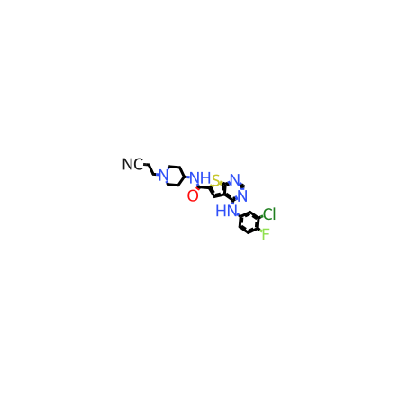 N#CCCN1CCC(NC(=O)c2cc3c(Nc4ccc(F)c(Cl)c4)ncnc3s2)CC1